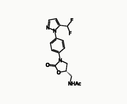 CC(=O)NC[C@H]1CN(c2ccc(-n3nccc3C(F)F)cc2)C(=O)O1